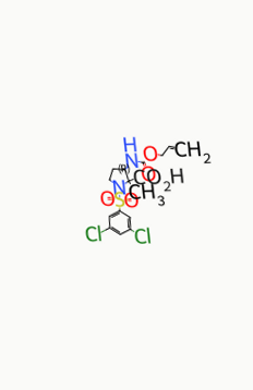 C=CCOC(=O)N[C@@H]1CCN(S(=O)(=O)c2cc(Cl)cc(Cl)c2)C1(C)C(=O)O